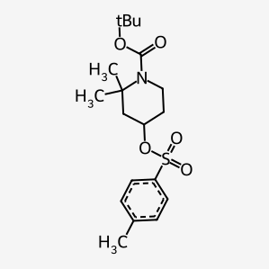 Cc1ccc(S(=O)(=O)OC2CCN(C(=O)OC(C)(C)C)C(C)(C)C2)cc1